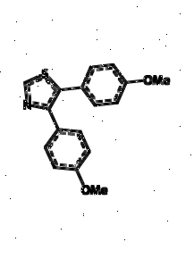 COc1ccc(-c2ncsc2-c2ccc(OC)cc2)cc1